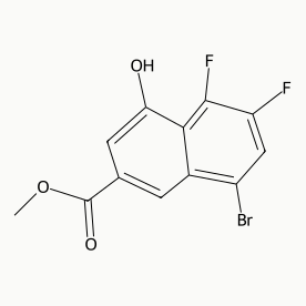 COC(=O)c1cc(O)c2c(F)c(F)cc(Br)c2c1